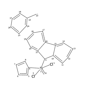 [CH2]=[Ti]([Cl])([Cl])([C]1=C=CC=C1)[CH]1c2ccccc2-c2ccccc21.[CH2]c1ccccc1